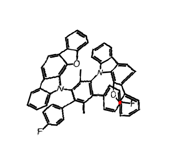 Cc1c(-c2ccc(F)cc2)c(-n2c3ccccc3c3ccc4c5ccccc5oc4c32)c(C)c(-n2c3ccccc3c3ccc4c5ccccc5oc4c32)c1-c1ccc(F)cc1